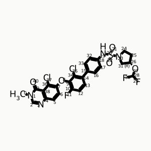 Cn1cnc2ccc(Oc3c(F)ccc(-c4ccc(NS(=O)(=O)N5CC[C@@H](OC(F)F)C5)cc4)c3Cl)c(Cl)c2c1=O